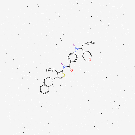 COCC(C1CCOCC1)N(I)c1ccc(C(=O)N(I)c2scc(C3CCc4ccccc4C3)c2C(=O)O)cc1